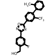 Cc1ccccc1-c1ccc(-c2nc(-c3ccc(CO)c(F)c3)no2)cc1C(F)(F)F